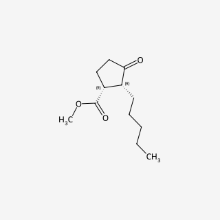 CCCCC[C@H]1C(=O)CC[C@H]1C(=O)OC